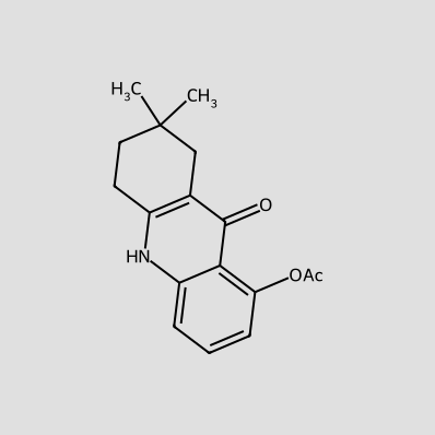 CC(=O)Oc1cccc2[nH]c3c(c(=O)c12)CC(C)(C)CC3